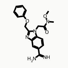 CON(C)C(=O)Cn1c(COc2ccccc2)nc2cc(C(=N)N)ccc21